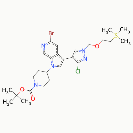 CC(C)(C)OC(=O)N1CCC(n2cc(-c3cn(COCCS(C)(C)C)nc3Cl)c3cc(Br)ncc32)CC1